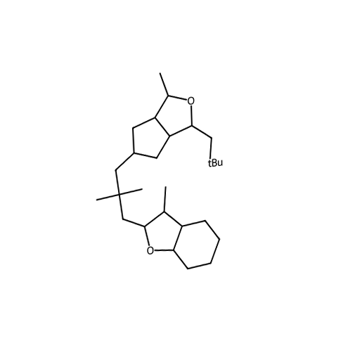 CC1OC(CC(C)(C)C)C2CC(CC(C)(C)CC3OC4CCCCC4C3C)CC12